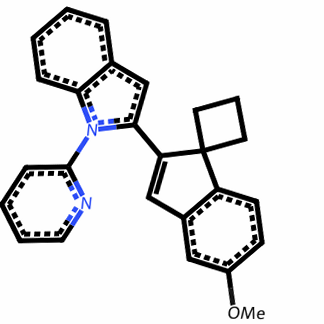 COc1ccc2c(c1)C=C(c1cc3ccccc3n1-c1ccccn1)C21CCC1